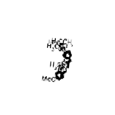 COc1ccc(CN(Cc2cc3ccc(B4OC(C)(C)C(C)(C)O4)cc3s2)S(C)(=O)=O)cc1